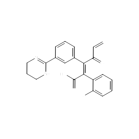 C=CC(=O)C(=C(C(=O)O)c1ccccc1F)c1cccc(C2=NCCCN2)c1